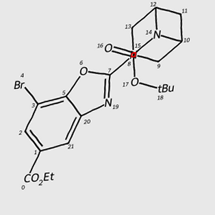 CCOC(=O)c1cc(Br)c2oc(N3CC4CC(C3)N4C(=O)OC(C)(C)C)nc2c1